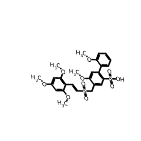 COc1cc(OC)c(C=CS(=O)(=O)Cc2cc(S(=O)(=O)O)c(-c3ccccc3OC)cc2OC)c(OC)c1